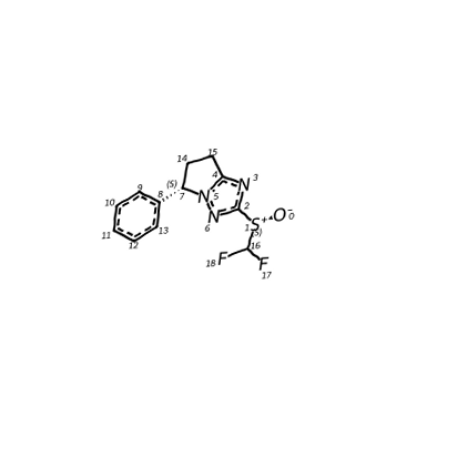 [O-][S@+](c1nc2n(n1)[C@H](c1ccccc1)CC2)C(F)F